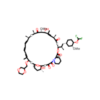 CO[C@@H]1C[C@H](C[C@@H](C)[C@@H]2CC(=O)[C@H](C)/C=C(\C)[C@@H](O)[C@@H](OC)C(=O)[C@H](C)C[C@H](C)/C=C/C=C/C=C(\C)C(OCC3COCCO3)C[C@@H]3CC[C@@H](C)[C@](O)(CC(=O)C(=O)N4CCCC[C@H]4C(=O)O2)O3)CC[C@H]1OC(F)F